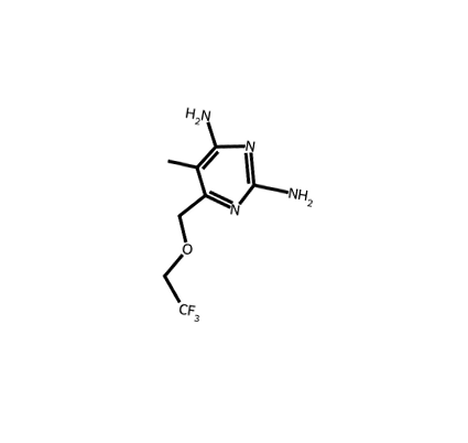 Cc1c(N)nc(N)nc1COCC(F)(F)F